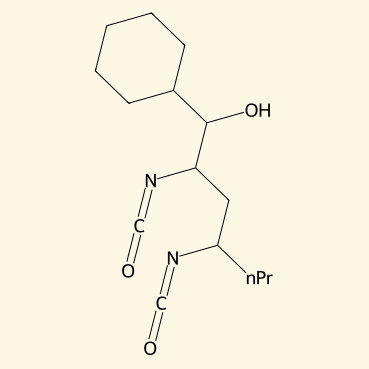 CCCC(CC(N=C=O)C(O)C1CCCCC1)N=C=O